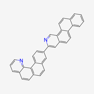 c1ccc2c(c1)ccc1c3cnc(-c4ccc5c(ccc6ccc7cccnc7c65)c4)cc3ccc21